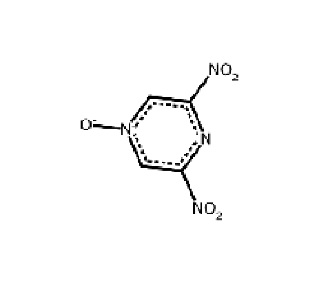 O=[N+]([O-])c1c[n+]([O-])cc([N+](=O)[O-])n1